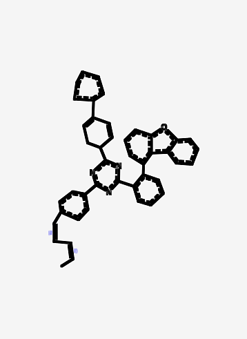 C/C=C\C=C/c1ccc(-c2nc(-c3ccccc3-c3cccc4oc5ccccc5c34)nc(C3C=CC(c4ccccc4)=CC3)n2)cc1